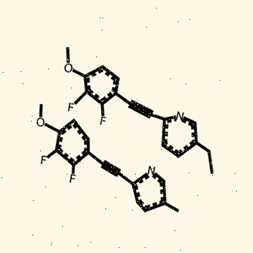 CCc1ccc(C#Cc2ccc(OC)c(F)c2F)nc1.COc1ccc(C#Cc2ccc(C)cn2)c(F)c1F